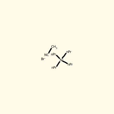 CC#N.CCC[N+](CCC)(CCC)CCC.[Br-]